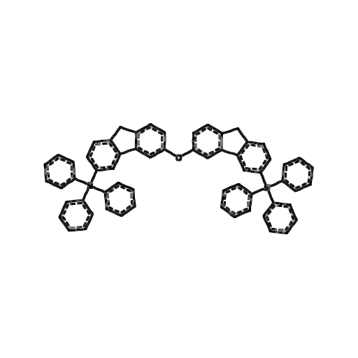 c1ccc([Si](c2ccccc2)(c2ccccc2)c2ccc3c(c2)-c2cc(Oc4ccc5c(c4)-c4cc([Si](c6ccccc6)(c6ccccc6)c6ccccc6)ccc4C5)ccc2C3)cc1